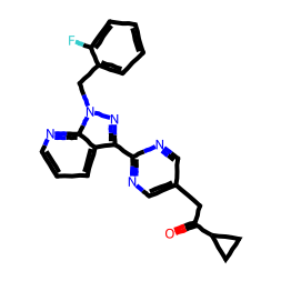 O=C(Cc1cnc(-c2nn(Cc3ccccc3F)c3ncccc23)nc1)C1CC1